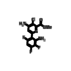 COC(=O)c1nc(-c2c(F)cc(F)c(F)c2N)cc(N)c1Cl